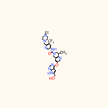 CCN1CCN(Cc2ncc(NC(=O)N3Cc4cc(Oc5ncnc6[nH]c(CO)cc56)cnc4C(C)C3)cc2C(F)(F)F)CC1